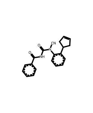 N#CN(C(=O)NC(=O)c1ccccc1)c1ccccc1C1CC=CC1